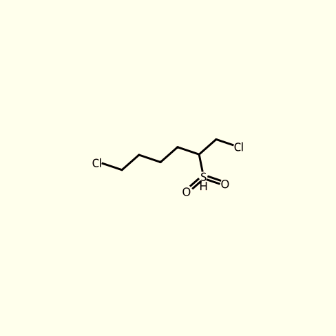 O=[SH](=O)C(CCl)CCCCCl